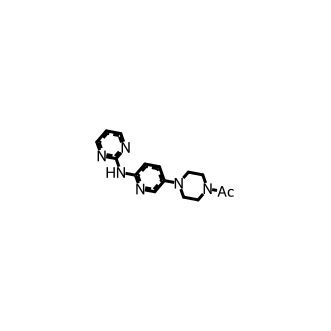 CC(=O)N1CCN(c2ccc(Nc3ncccn3)nc2)CC1